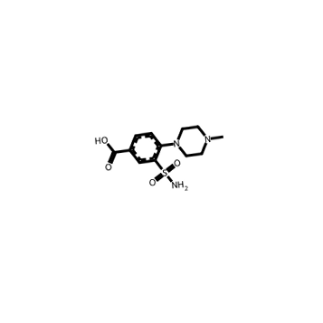 CN1CCN(c2ccc(C(=O)O)cc2S(N)(=O)=O)CC1